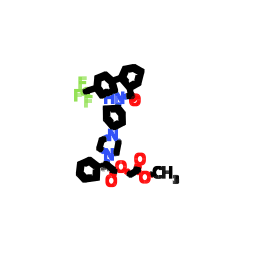 COC(=O)COC(=O)[C@@H](c1ccccc1)N1CCN(c2ccc(NC(=O)c3ccccc3-c3ccc(C(F)(F)F)cc3)cc2)CC1